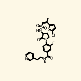 CC(=CS(=O)(=O)NC1CCN(c2ccc(C(=O)N(C)CCc3cccnc3)cc2F)C1=O)c1ccc(Cl)s1